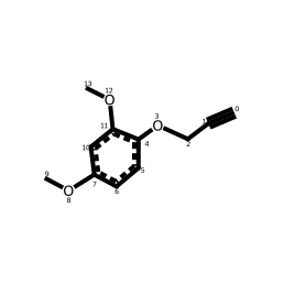 C#CCOc1ccc(OC)cc1OC